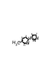 Cc1ccc(-n2ccnn2)nc1